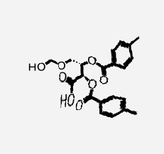 Cc1ccc(C(=O)O[C@@H](COCO)[C@@H](OC(=O)c2ccc(C)cc2)C(=O)O)cc1